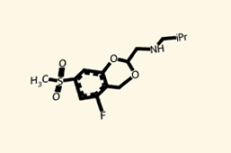 CC(C)CNCC1OCc2c(F)cc(S(C)(=O)=O)cc2O1